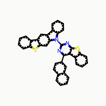 c1ccc2cc(-c3nc(-n4c5ccccc5c5cc6c(cc54)sc4ccccc46)nc4sc5ccccc5c34)ccc2c1